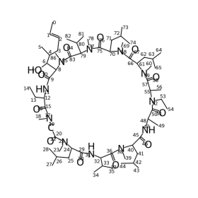 C/C=C/CC(C)C(O)C1C(=O)NC(CC)C(=O)N(C)CC(=O)N(C)C(CC(C)C)C(=O)NC(C(C)C)C(=O)N(C)C(CC(C)C)C(=O)NC(C)C(=O)N(CC)C(C)C(=O)N(C)C(CC(C)C)C(=O)N(C)C(CC(C)C)C(=O)N(C)C(C(C)C)C(=O)N1C